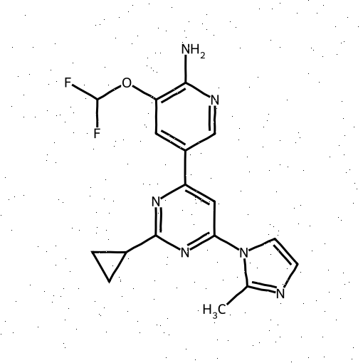 Cc1nccn1-c1cc(-c2cnc(N)c(OC(F)F)c2)nc(C2CC2)n1